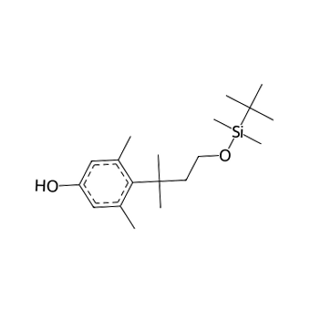 Cc1cc(O)cc(C)c1C(C)(C)CCO[Si](C)(C)C(C)(C)C